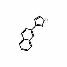 [c]1c(-c2cc[nH]n2)ccc2ccccc12